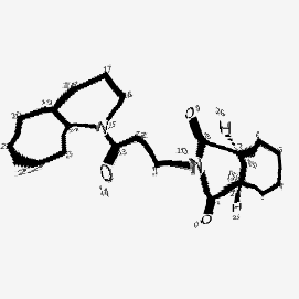 O=C1[C@H]2CCCC[C@@H]2C(=O)N1CCC(=O)N1CCCC2CCCCC21